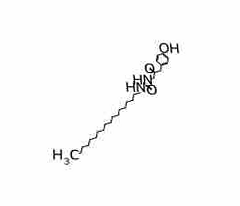 CCCCCCCCCCCCCCCCCCNC(=O)NCC(=O)Cc1ccc(O)cc1